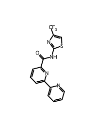 O=C(Nc1nc(C(F)(F)F)cs1)c1cccc(-c2ccccn2)n1